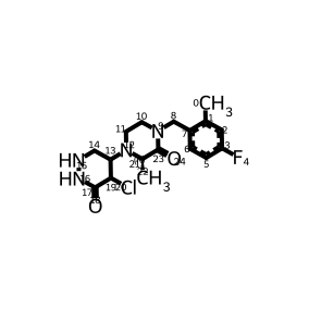 Cc1cc(F)ccc1CN1CCN(C2CNNC(=O)C2Cl)[C@H](C)C1=O